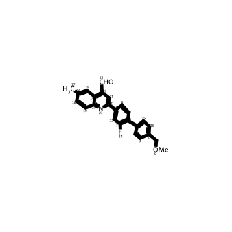 COCc1ccc(-c2ccc(-c3cc(C=O)c4cc(C)ccc4n3)cc2F)cc1